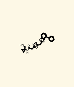 O=C(Cc1nnc(Cc2nc3c(-c4ccccc4)cccc3s2)o1)NC1(CO)CC1